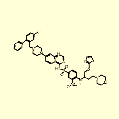 O=[N+]([O-])c1cc(S(=O)(=O)Nc2ncnc3cc(N4CCN(Cc5cc(Cl)ccc5-c5ccccc5)CC4)ccc23)ccc1N[C@H](CCN1CCOCC1)CSc1nccs1